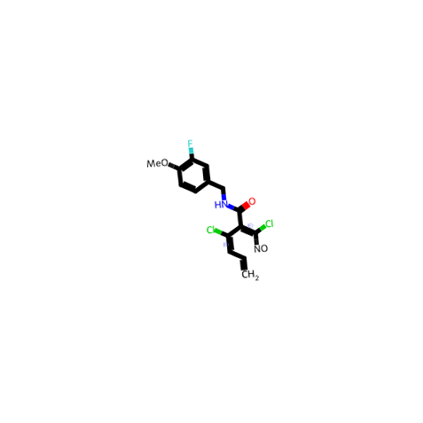 C=C/C=C(Cl)\C(C(=O)NCc1ccc(OC)c(F)c1)=C(\Cl)N=O